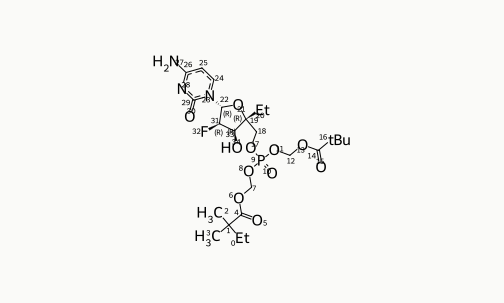 CCC(C)(C)C(=O)OCOP(=O)(OCOC(=O)C(C)(C)C)OC[C@@]1(CC)O[C@@H](n2ccc(N)nc2=O)[C@H](F)[C@@H]1O